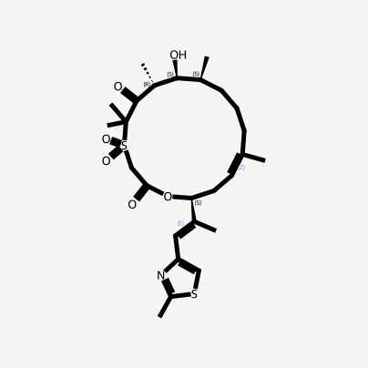 C/C1=C/C[C@@H](/C(C)=C/c2csc(C)n2)OC(=O)CS(=O)(=O)C(C)(C)C(=O)[C@H](C)[C@@H](O)[C@@H](C)CCC1